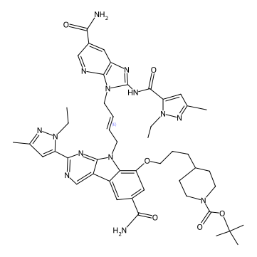 CCn1nc(C)cc1C(=O)Nc1nc2cc(C(N)=O)cnc2n1C/C=C/Cn1c2nc(-c3cc(C)nn3CC)ncc2c2cc(C(N)=O)cc(OCCCC3CCN(C(=O)OC(C)(C)C)CC3)c21